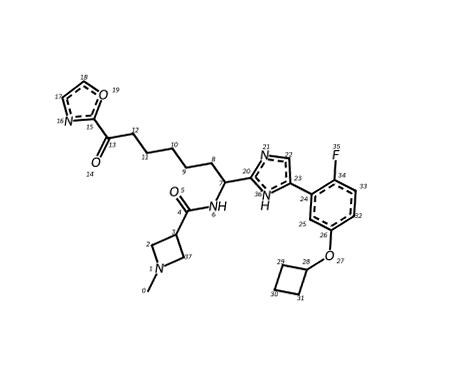 CN1CC(C(=O)NC(CCCCCC(=O)c2ncco2)c2ncc(-c3cc(OC4CCC4)ccc3F)[nH]2)C1